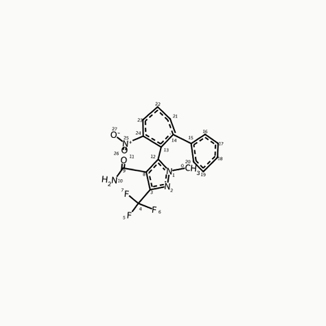 Cn1nc(C(F)(F)F)c(C(N)=O)c1-c1c(-c2ccccc2)cccc1[N+](=O)[O-]